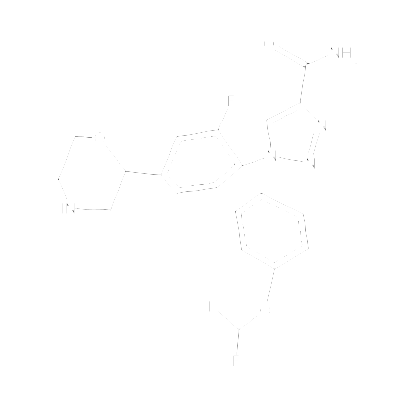 NC(=O)C1=C[N@+](c2ccc(OC(F)F)cc2)(c2ccc(C3CNCCO3)cc2F)N=N1